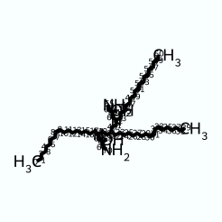 CCCCCC=CC/C=C\CCCCCCCCN(CCC(CCCCCCCC/C=C\C/C=C/CCCCC)CCN(CCCCCCCC/C=C/CC=CCCCCC)CC(O)CN)CC(O)CN